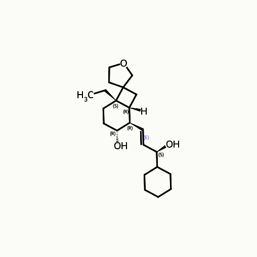 CC[C@]12CC[C@@H](O)[C@H](/C=C/[C@@H](O)C3CCCCC3)[C@H]1CC21CCOC1